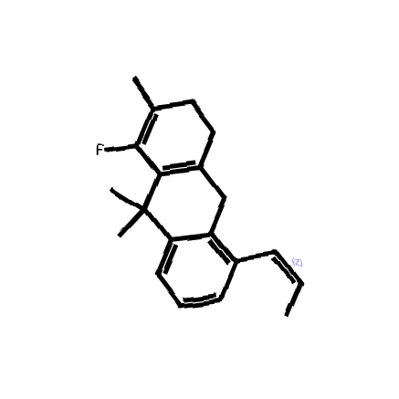 C/C=C\c1cccc2c1CC1=C(C(F)=C(C)CC1)C2(C)C